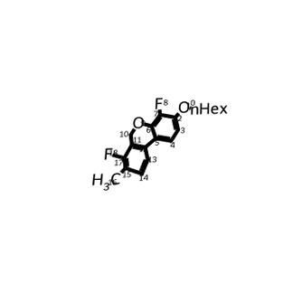 CCCCCCOc1ccc2c(c1F)OCc1c-2ccc(C)c1F